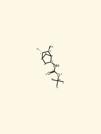 C[C@H]1C2CC([C@@H](NC(=O)OC(C)(C)C)C2)[C@@H]1C